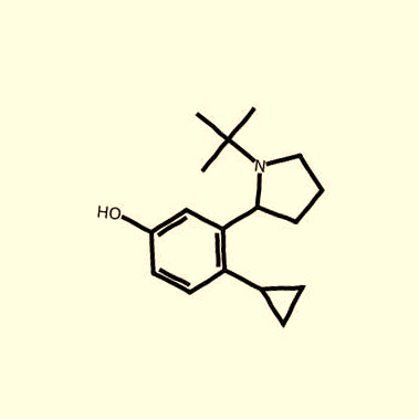 CC(C)(C)N1CCCC1c1cc(O)ccc1C1CC1